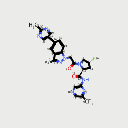 CC(=O)c1nn(CC(=O)N2C[C@H](F)C[C@H]2C(=O)Nc2cncc(C(F)(F)F)n2)c2ccc(-c3cnc(C)nc3)cc12